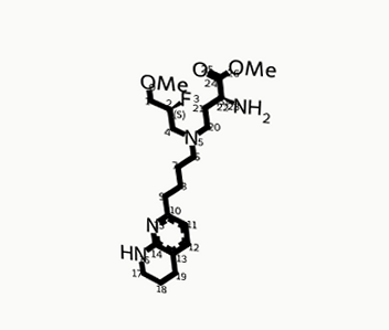 COC[C@@H](F)CN(CCCCc1ccc2c(n1)NCCC2)CC[C@H](N)C(=O)OC